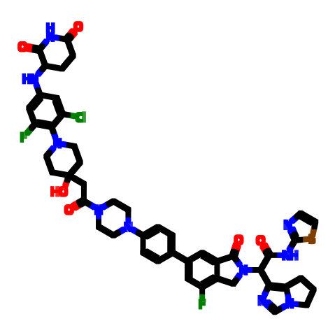 O=C1CCC(Nc2cc(F)c(N3CCC(O)(CC(=O)N4CCN(c5ccc(-c6cc(F)c7c(c6)C(=O)N(C(C(=O)Nc6nccs6)c6ncn8c6CCC8)C7)cc5)CC4)CC3)c(Cl)c2)C(=O)N1